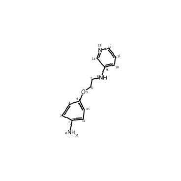 Nc1ccc(OCCNc2cccnc2)cc1